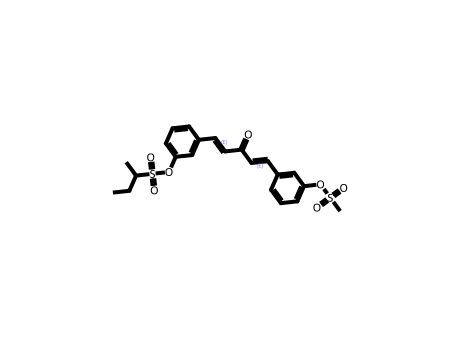 CCC(C)S(=O)(=O)Oc1cccc(/C=C/C(=O)/C=C/c2cccc(OS(C)(=O)=O)c2)c1